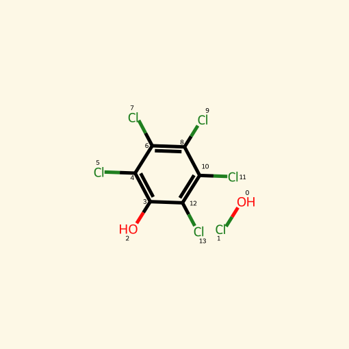 OCl.Oc1c(Cl)c(Cl)c(Cl)c(Cl)c1Cl